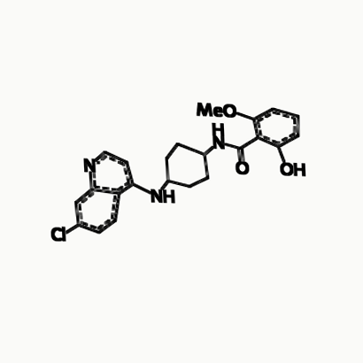 COc1cccc(O)c1C(=O)NC1CCC(Nc2ccnc3cc(Cl)ccc23)CC1